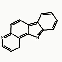 C1=CN=c2ccc3c(c2C1)N=c1ccccc1=3